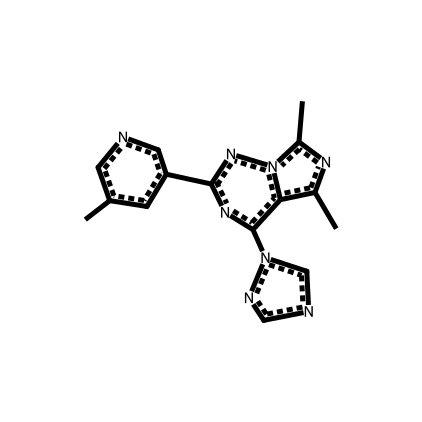 Cc1cncc(-c2nc(-n3cncn3)c3c(C)nc(C)n3n2)c1